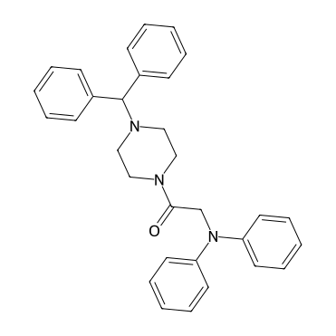 O=C(CN(c1ccccc1)c1ccccc1)N1CCN(C(c2ccccc2)c2ccccc2)CC1